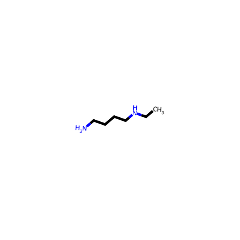 CCNCC[CH]CN